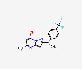 Cc1cc(O)n2nc(C(C)c3ccc(C(F)(F)F)cc3)cc2n1